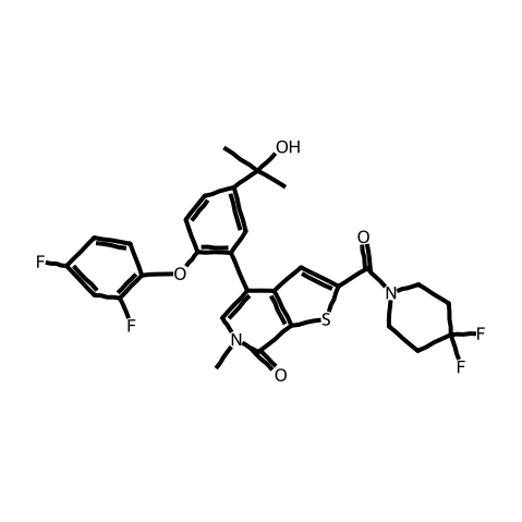 Cn1cc(-c2cc(C(C)(C)O)ccc2Oc2ccc(F)cc2F)c2cc(C(=O)N3CCC(F)(F)CC3)sc2c1=O